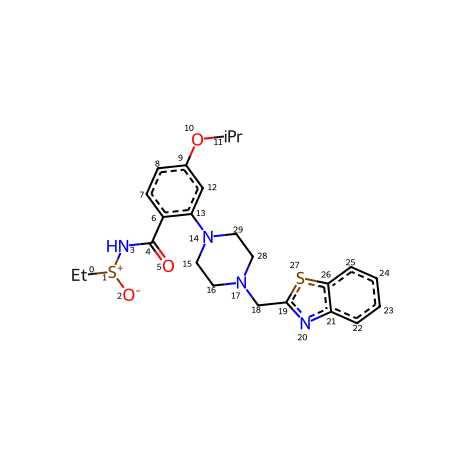 CC[S+]([O-])NC(=O)c1ccc(OC(C)C)cc1N1CCN(Cc2nc3ccccc3s2)CC1